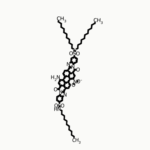 CCCCCCCCCCCCNS(=O)(=O)c1ccc2c(c1)nc1c3ccc4c5c([N+](=O)[O-])cc6c(=O)n7c8ccc(S(=O)(=O)N(CCCCCCCCCCCC)CCCCCCCCCCCC)cc8nc7c7ccc(c8c(N)cc(c(=O)n21)c3c48)c5c67